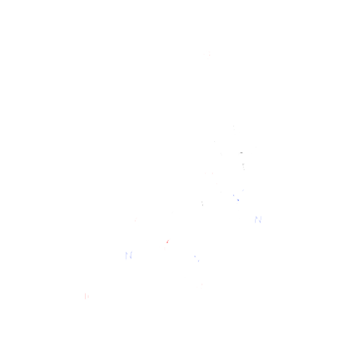 COc1ccc(C23CCC(CN(c4cc(-c5coc(C(C)(C)C)n5)ccn4)C(=O)[C@H]4CC[C@H](OC(=O)N5CCC(O)CC5)CC4)(CC2)CC3)cc1C